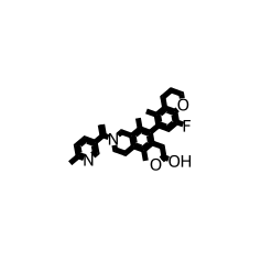 C=C(c1ccc(C)nc1)N1CCc2c(C)c(CC(=O)O)c(-c3cc(F)c4c(c3C)CCCO4)c(C)c2C1